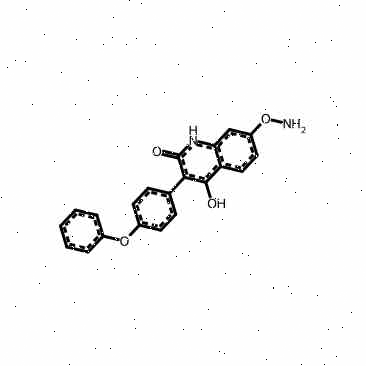 NOc1ccc2c(O)c(-c3ccc(Oc4ccccc4)cc3)c(=O)[nH]c2c1